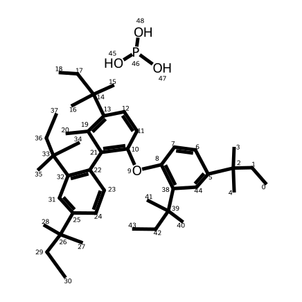 CCC(C)(C)c1ccc(Oc2ccc(C(C)(C)CC)c(C)c2-c2ccc(C(C)(C)CC)cc2C(C)(C)CC)c(C(C)(C)CC)c1.OP(O)O